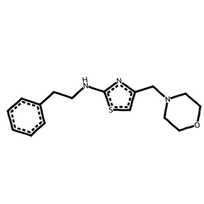 c1ccc(CCNc2nc(CN3CCOCC3)cs2)cc1